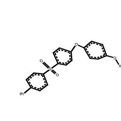 CC(C)c1ccc(S(=O)(=O)c2ccc(Oc3ccc(OC(C)(C)C)cc3)cc2)cc1